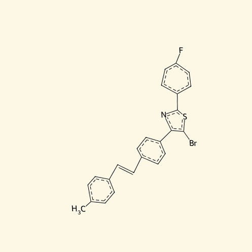 Cc1ccc(/C=C/c2ccc(-c3nc(-c4ccc(F)cc4)sc3Br)cc2)cc1